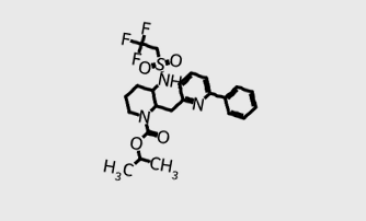 CC(C)OC(=O)N1CCCC(NS(=O)(=O)CC(F)(F)F)C1Cc1cccc(-c2ccccc2)n1